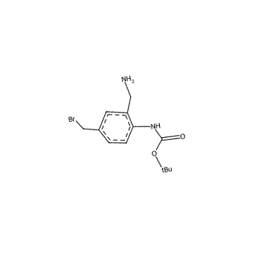 CC(C)(C)OC(=O)Nc1ccc(CBr)cc1CN